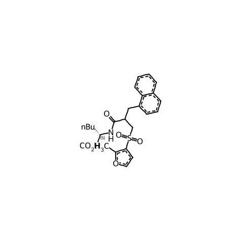 CCCC[C@H](NC(=O)C(Cc1cccc2ccccc12)CS(=O)(=O)c1ccoc1C)C(=O)O